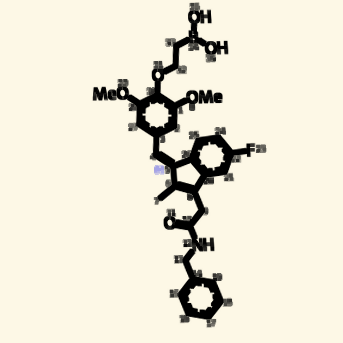 COc1cc(/C=C2/C(C)=C(CC(=O)NCc3ccccc3)c3cc(F)ccc32)cc(OC)c1OCCB(O)O